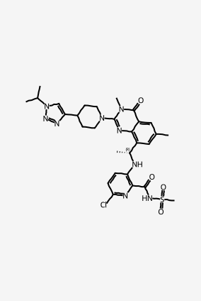 Cc1cc([C@@H](C)Nc2ccc(Cl)nc2C(=O)NS(C)(=O)=O)c2nc(N3CCC(c4cn(C(C)C)nn4)CC3)n(C)c(=O)c2c1